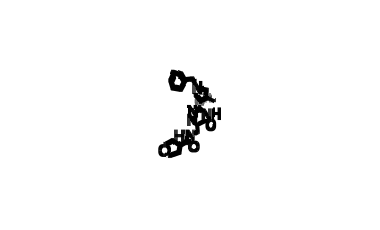 C[C@@H]1CN(Cc2ccccc2)C[C@H]1c1nnc(CNC(=O)C2CCOCC2)c(=O)[nH]1